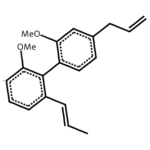 C=CCc1ccc(-c2c(OC)[c]ccc2C=CC)c(OC)c1